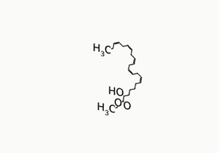 CC/C=C\C/C=C\C/C=C\C/C=C\C/C=C\CCCCC(O)C(=O)OCC